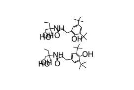 CCC(CO)(CO)NC(=O)CCc1cc(C(C)(C)C)c(O)c(C(C)(C)C)c1.CCC(CO)(CO)NC(=O)CCc1cc(C(C)(C)C)cc(C(C)(C)C)c1O